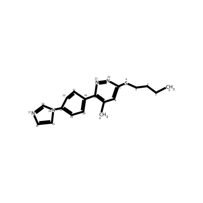 CCCCSc1cc(C)c(-c2ccc(-n3ccnc3)cc2)nn1